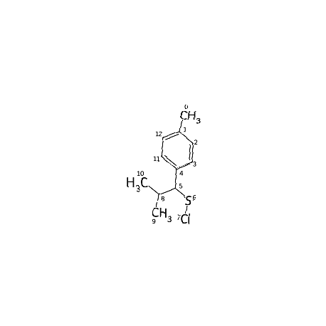 Cc1ccc(C(SCl)C(C)C)cc1